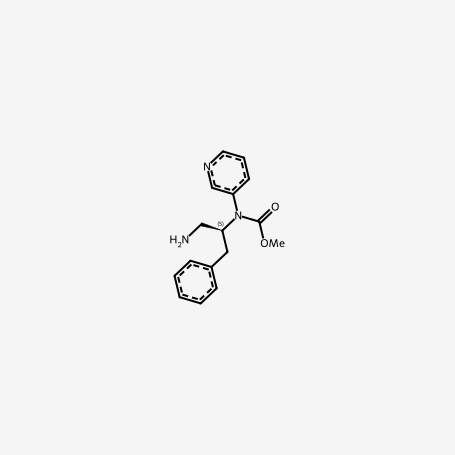 COC(=O)N(c1cccnc1)[C@H](CN)Cc1ccccc1